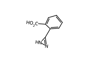 O=C(O)c1ccccc1C1=NN1